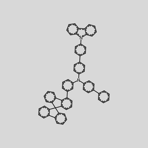 c1ccc(-c2ccc(N(c3ccc(-c4ccc(-n5c6ccccc6c6ccccc65)cc4)cc3)c3cccc(-c4cccc5c4-c4ccccc4C54c5ccccc5-c5ccccc54)c3)cc2)cc1